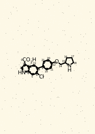 O=C(O)c1c[nH]c2cc(Cl)c(-c3ccc(OCC4CCCN4)cc3)cc12